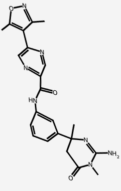 Cc1noc(C)c1-c1cnc(C(=O)Nc2cccc(C3(C)CC(=O)N(C)C(N)=N3)c2)cn1